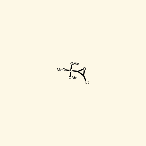 CCC1OC1[Si](OC)(OC)OC